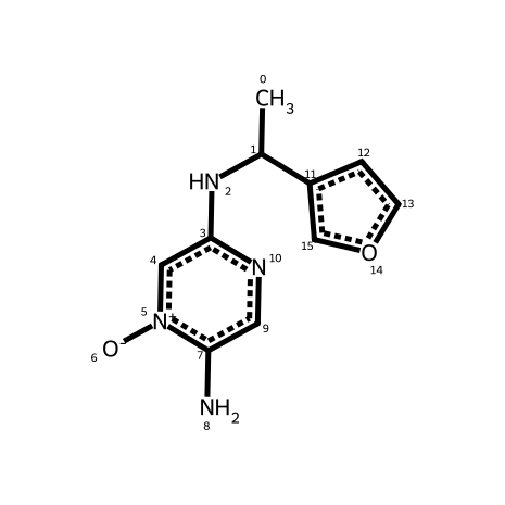 CC(Nc1c[n+]([O-])c(N)cn1)c1ccoc1